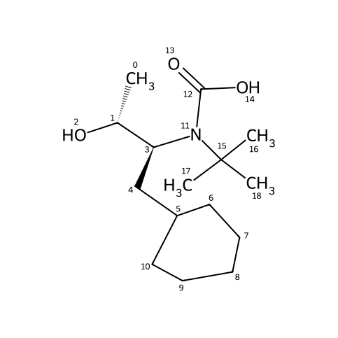 C[C@@H](O)[C@H](CC1CCCCC1)N(C(=O)O)C(C)(C)C